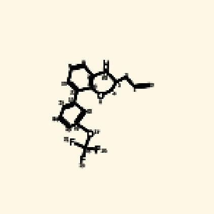 C=CCC1COc2c(cccc2-c2cccc(OC(F)(F)F)c2)N1